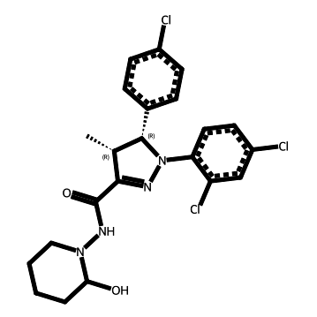 C[C@H]1C(C(=O)NN2CCCCC2O)=NN(c2ccc(Cl)cc2Cl)[C@H]1c1ccc(Cl)cc1